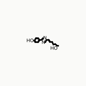 CC(O)CCCC=Cc1cnc(-c2ccc(O)cc2)cn1